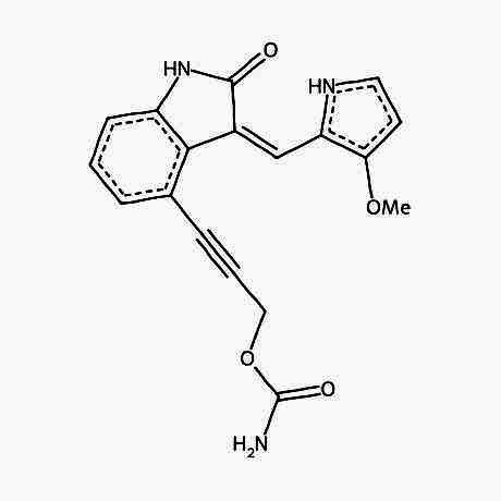 COc1cc[nH]c1C=C1C(=O)Nc2cccc(C#CCOC(N)=O)c21